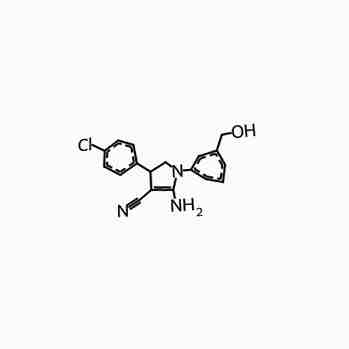 N#CC1=C(N)N(c2cccc(CO)c2)CC1c1ccc(Cl)cc1